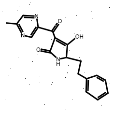 Cc1cnc(C(=O)C2=C(O)C(CCc3ccccc3)NC2=O)cn1